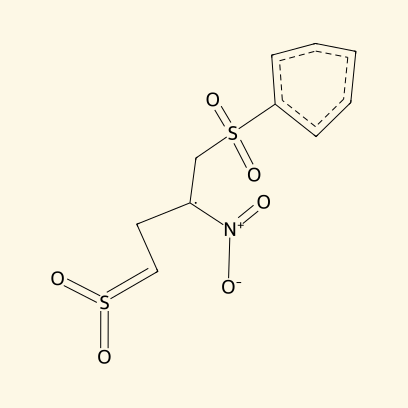 O=[N+]([O-])[C](CC=S(=O)=O)CS(=O)(=O)c1ccccc1